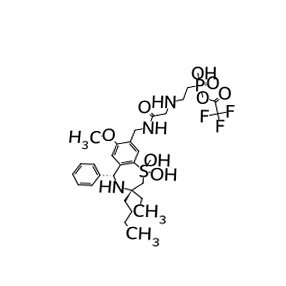 CCCC[C@]1(CC)CS(O)(O)c2cc(CNC(=O)CNCCP(=O)(O)OC(=O)C(F)(F)F)c(OC)cc2[C@@H](c2ccccc2)N1